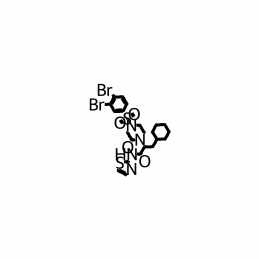 O=C(Nc1nccs1)C(CC1CCCCC1)N1CCN(S(=O)(=O)c2ccc(Br)c(Br)c2)CC1=O